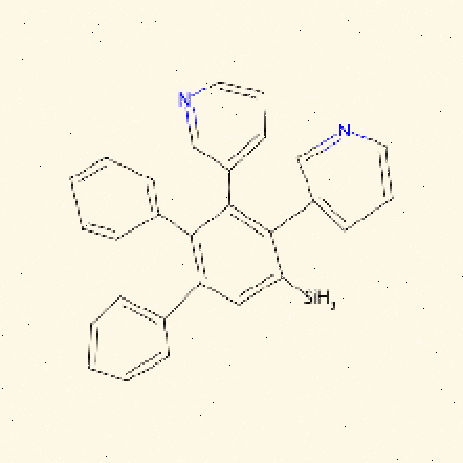 [SiH3]c1cc(-c2ccccc2)c(-c2ccccc2)c(-c2cccnc2)c1-c1cccnc1